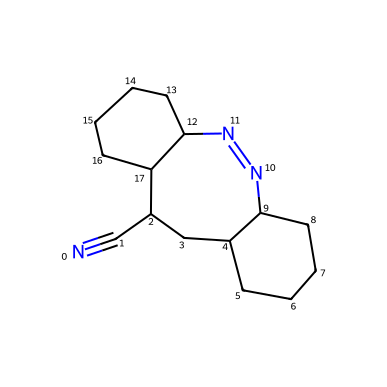 N#CC1CC2CCCCC2/N=N\C2CCCCC12